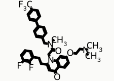 CN(C)CCOc1ccc2c(=O)cc(CCc3cccc(F)c3F)n(CC(=O)N(C)Cc3ccc(-c4ccc(C(F)(F)F)cc4)cc3)c2c1